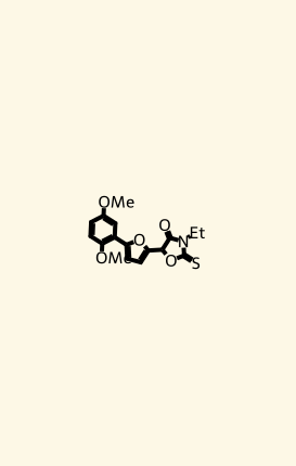 CCN1C(=O)C(c2ccc(-c3cc(OC)ccc3OC)o2)OC1=S